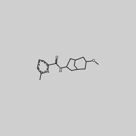 COC1CC2CC(CC(NC(=O)c3cccc(C)n3)C2)C1